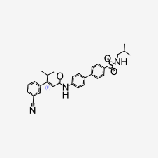 CC(C)CNS(=O)(=O)c1ccc(-c2ccc(NC(=O)/C=C(/c3cccc(C#N)c3)C(C)C)cc2)cc1